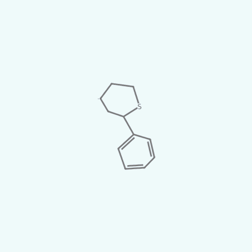 [CH]1CCSC(c2ccccc2)C1